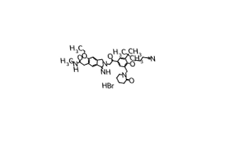 Br.CCOc1cc2c(cc1CC(=O)NC)C(=N)N(CC(=O)c1cc(CN3CCCCC3=O)c(OCCCC#N)c(C(C)(C)C)c1)C2